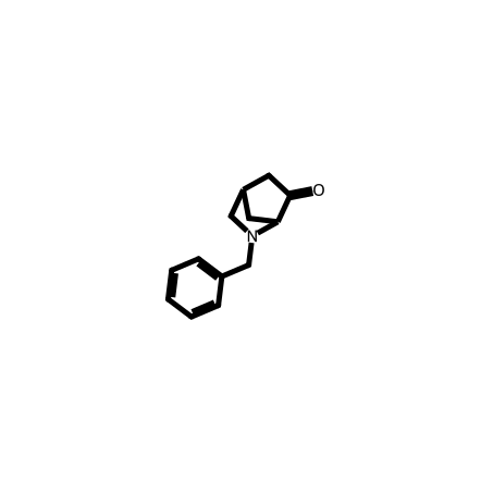 O=C1CC2CC1N(Cc1ccccc1)C2